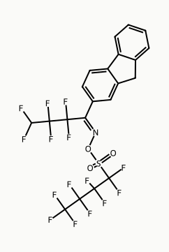 O=S(=O)(ON=C(c1ccc2c(c1)Cc1ccccc1-2)C(F)(F)C(F)(F)C(F)F)C(F)(F)C(F)(F)C(F)(F)C(F)(F)F